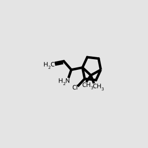 C=CC(N)C12CCC(CC1Cl)C2(C)C